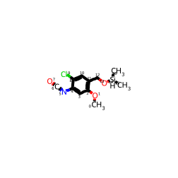 COc1cc(N=C=O)c(Cl)cc1CO[SiH](C)C